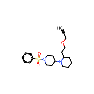 C#CCOCCC1CCCCN1C1CCN(S(=O)(=O)c2ccccc2)CC1